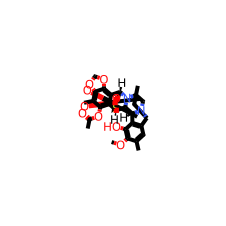 COc1c(C)cc2c(c1O)[C@@H]1C3[C@@H]4SCC(=O)C(=O)OC[C@H](c5c6c(c(C)c(OC(C)=O)c54)OCO6)N3C3(C)CC2N1C3